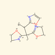 CC[C](c1ncco1)C(C)(C1=NCCO1)C1=NCCO1